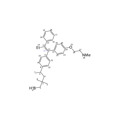 BCC(C)(C)CC(C)c1ccc(/C(=C(\CC)c2ccccc2)c2ccc(OCCNC)cc2)cc1